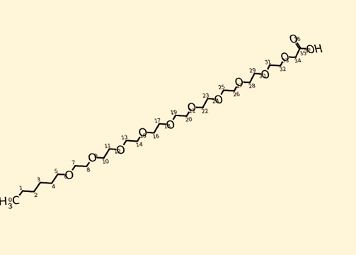 CCCCCCOCCOCCOCCOCCOCCOCCOCCOCCOCCOCC(=O)O